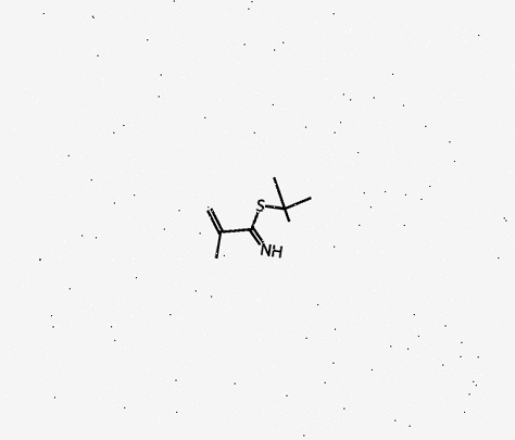 C=C(C)C(=N)SC(C)(C)C